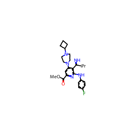 COC(=O)c1cc(N2CCN(C3CCC3)CC2)c(C(=N)C(C)C)c(Nc2ccc(F)cc2)n1